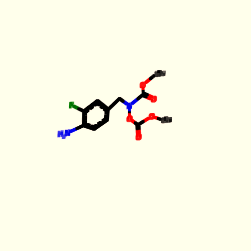 CC(C)(C)OC(=O)ON(Cc1ccc(N)c(F)c1)C(=O)OC(C)(C)C